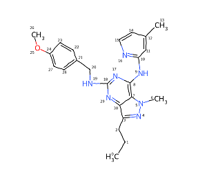 CCCc1nn(C)c2c(Nc3cc(C)ccn3)nc(NCc3ccc(OC)cc3)nc12